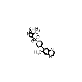 Cc1cc2nccnc2cc1C1=CCN(S(=O)(=O)c2cnn(C)c2C)CC1